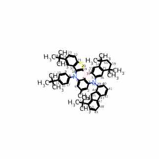 Cc1cc2c3c(c1)N(c1ccc(C(C)(C)C)cc1)c1c(sc4ccc(C(C)(C)C)cc14)B3c1cc3c(cc1N2c1cccc2c1Cc1c-2cccc1C(C)(C)C)C(C)(C)CCC3(C)C